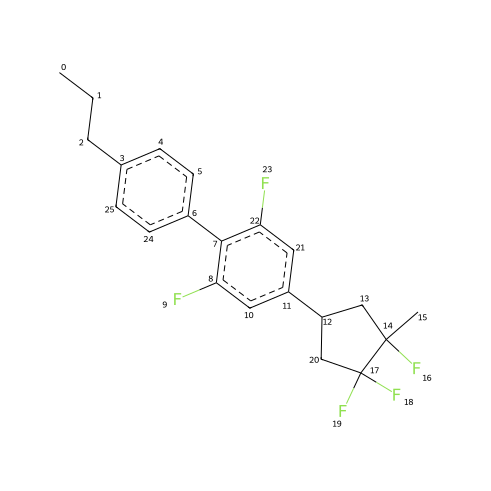 CCCc1ccc(-c2c(F)cc(C3CC(C)(F)C(F)(F)C3)cc2F)cc1